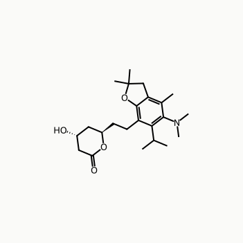 Cc1c2c(c(CC[C@@H]3C[C@@H](O)CC(=O)O3)c(C(C)C)c1N(C)C)OC(C)(C)C2